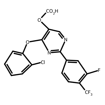 O=C(O)Oc1cnc(-c2ccc(C(F)(F)F)c(F)c2)nc1Oc1ccccc1Cl